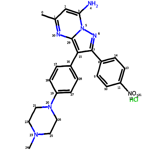 Cc1cc(N)n2nc(-c3ccc([N+](=O)[O-])cc3)c(-c3ccc(N4CCN(C)CC4)cc3)c2n1.Cl